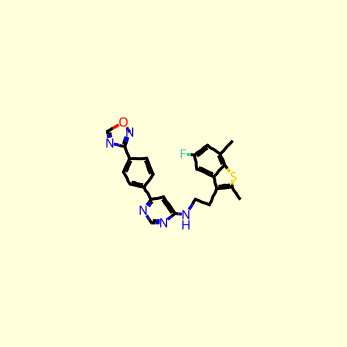 Cc1sc2c(C)cc(F)cc2c1CCNc1cc(-c2ccc(-c3ncon3)cc2)ncn1